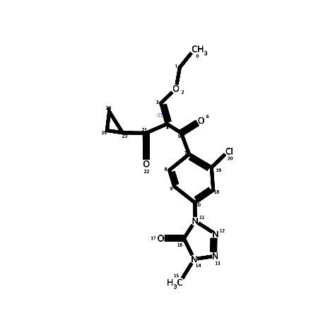 CCO/C=C(\C(=O)c1ccc(-n2nnn(C)c2=O)cc1Cl)C(=O)C1CC1